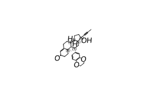 CC#C[C@]1(O)CC[C@H]2[C@@H]3CCC4=CC(=O)CC[C@]4(C)C3[C@@H](c3ccc4c(c3)OCCO4)C[C@@]21C